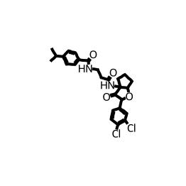 CC(C)c1ccc(C(=O)NCCC(=O)NC23CCCC2OC(c2ccc(Cl)c(Cl)c2)C3=O)cc1